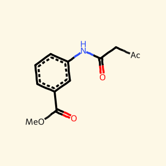 COC(=O)c1cccc(NC(=O)CC(C)=O)c1